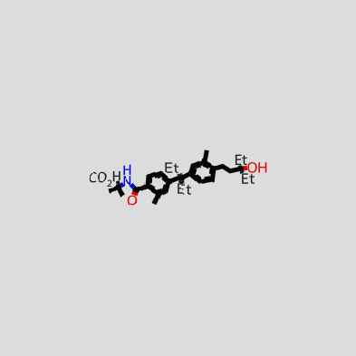 CCC(O)(CC)CCc1ccc(C(CC)(CC)c2ccc(C(=O)NC(C)(C)C(=O)O)c(C)c2)cc1C